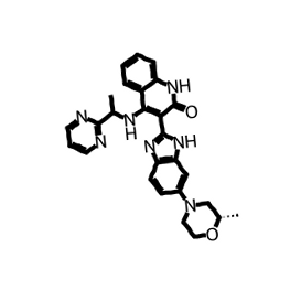 CC(Nc1c(-c2nc3ccc(N4CCO[C@@H](C)C4)cc3[nH]2)c(=O)[nH]c2ccccc12)c1ncccn1